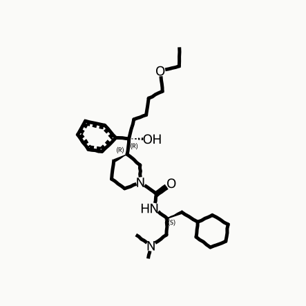 CCOCCCC[C@](O)(c1ccccc1)[C@@H]1CCCN(C(=O)N[C@@H](CC2CCCCC2)CN(C)C)C1